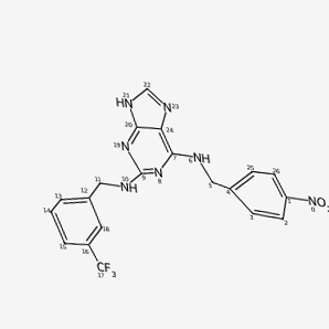 O=[N+]([O-])c1ccc(CNc2nc(NCc3cccc(C(F)(F)F)c3)nc3[nH]cnc23)cc1